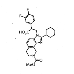 COC(=O)N1CCc2ccc3c(nc(C4CCCCC4)n3C[C@@H](C(=O)O)c3ccc(F)c(F)c3)c2C1